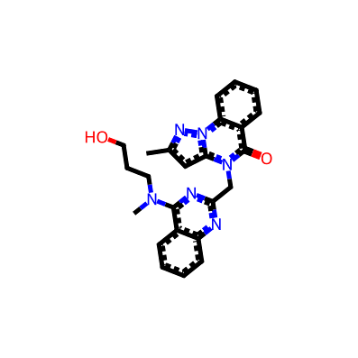 Cc1cc2n(Cc3nc(N(C)CCCO)c4ccccc4n3)c(=O)c3ccccc3n2n1